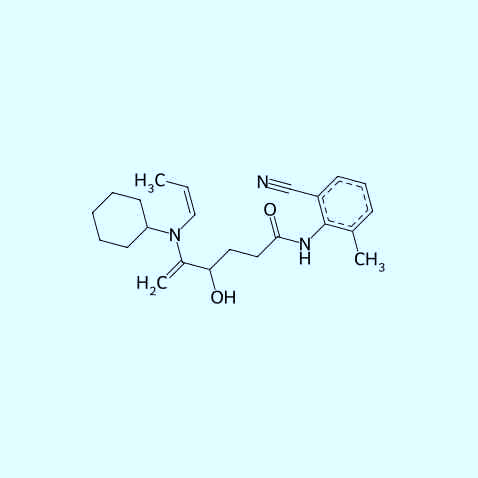 C=C(C(O)CCC(=O)Nc1c(C)cccc1C#N)N(/C=C\C)C1CCCCC1